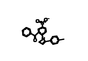 Cc1ccc(C2=CCN2c2ccc([N+](=O)[O-])cc2C(=O)c2ccccc2)cc1